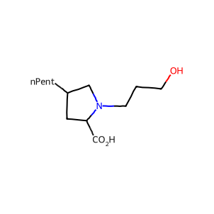 CCCCCC1CC(C(=O)O)N(CCCO)C1